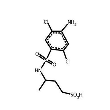 CC(CCS(=O)(=O)O)NS(=O)(=O)c1cc(Cl)c(N)cc1Cl